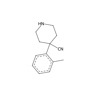 Cc1ccccc1C1(C#N)CCNCC1